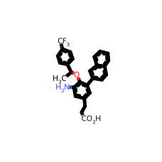 CC(Oc1c(N)cc(CCC(=O)O)cc1-c1ccc2ccccc2c1)c1ccc(C(F)(F)F)cc1